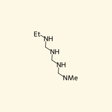 CCNCNCNCNC